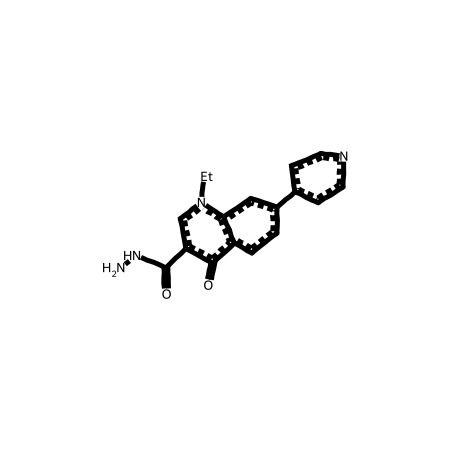 CCn1cc(C(=O)NN)c(=O)c2ccc(-c3ccncc3)cc21